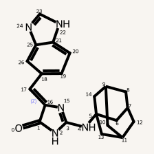 O=C1NC(NC23CC4CC(CC(C4)C2)C3)=N/C1=C\c1ccc2[nH]cnc2c1